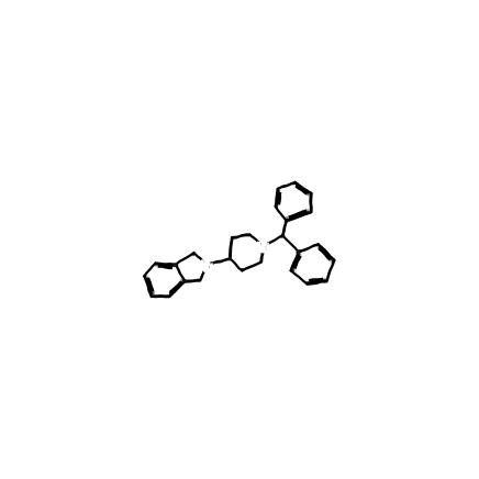 c1ccc(C(c2ccccc2)N2CCC(N3Cc4ccccc4C3)CC2)cc1